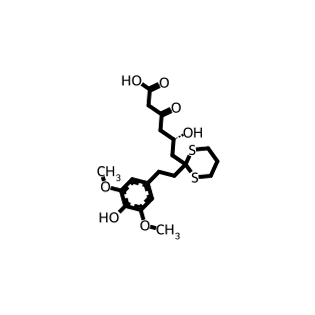 COc1cc(CCC2(C[C@@H](O)CC(=O)CC(=O)O)SCCCS2)cc(OC)c1O